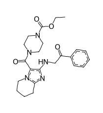 CCOC(=O)N1CCN(C(=O)c2c(NCC(=O)c3ccccc3)nc3n2CCCC3)CC1